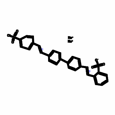 O=S(=O)([O-])c1ccc(/C=C/c2ccc(-c3ccc(/C=C/c4ccccc4S(=O)(=O)[O-])cc3)cc2)cc1.[Na+].[Na+]